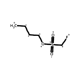 CCCCOS(=O)(=O)CF